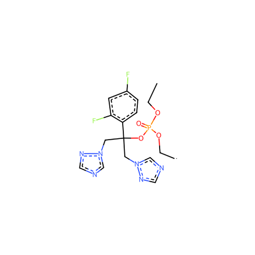 [CH2]COP(=O)(OCC)OC(Cn1cncn1)(Cn1cncn1)c1ccc(F)cc1F